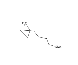 CSCCCCC1(C(F)(F)F)CC1